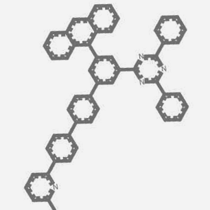 Cc1cccc(-c2ccc(-c3ccc(-c4cc(-c5nc(-c6ccccc6)nc(-c6ccccc6)n5)cc(-c5c6ccccc6cc6ccccc56)c4)cc3)cc2)n1